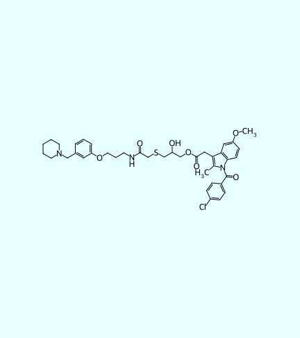 COc1ccc2c(c1)c(CC(=O)OCC(O)CSCC(=O)NCCCOc1cccc(CN3CCCCC3)c1)c(C)n2C(=O)c1ccc(Cl)cc1